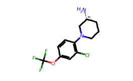 N[C@@H]1CCCN(c2ccc(OC(F)(F)F)cc2Cl)C1